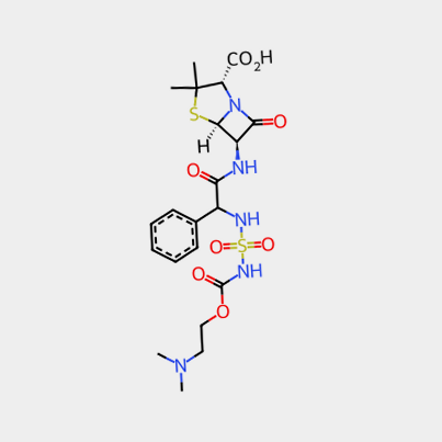 CN(C)CCOC(=O)NS(=O)(=O)NC(C(=O)N[C@@H]1C(=O)N2[C@@H]1SC(C)(C)[C@@H]2C(=O)O)c1ccccc1